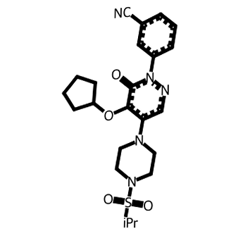 CC(C)S(=O)(=O)N1CCN(c2cnn(-c3cccc(C#N)c3)c(=O)c2OC2CCCC2)CC1